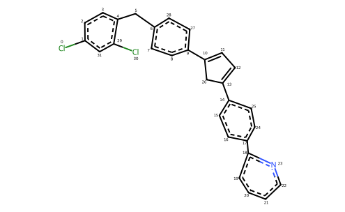 Clc1ccc(Cc2ccc(C3=CC=C(c4ccc(-c5ccccn5)cc4)C3)cc2)c(Cl)c1